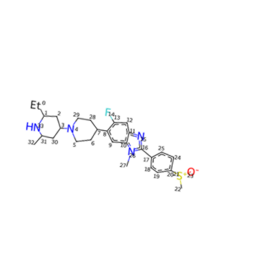 CCC1CC(N2CCC(c3cc4c(cc3F)nc(-c3ccc([S+](C)[O-])cc3)n4C)CC2)CC(C)N1